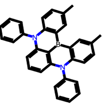 Cc1ccc2c(c1)B1c3cc(C)ccc3N(c3ccccc3)c3cccc(c31)N2c1ccccc1